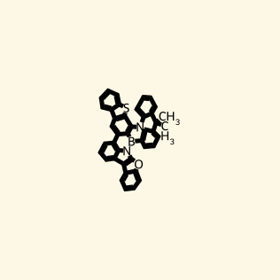 CC1(C)c2ccccc2N2c3c(cccc31)B1c3c(cc4c(sc5ccccc54)c32)-c2cccc3c4c5ccccc5oc4n1c23